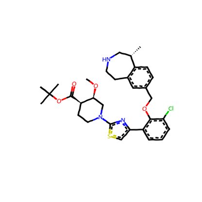 CO[C@H]1CN(c2nc(-c3cccc(Cl)c3OCc3ccc4c(c3)CCNC[C@@H]4C)cs2)CC[C@H]1C(=O)OC(C)(C)C